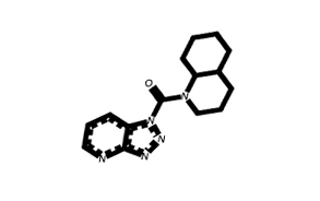 O=C(N1CCCC2CCCCC21)n1nnc2ncccc21